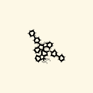 CC1(C)c2ccccc2-c2ccc(N(c3ccc(-c4ccccc4)cc3)c3cccc4oc5c(-c6ccc(-c7ccccc7)cc6)c6ccccc6cc5c34)cc21